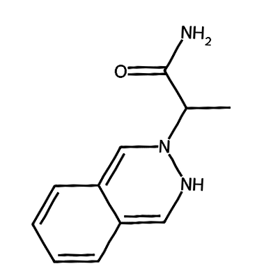 CC(C(N)=O)N1C=c2ccccc2=CN1